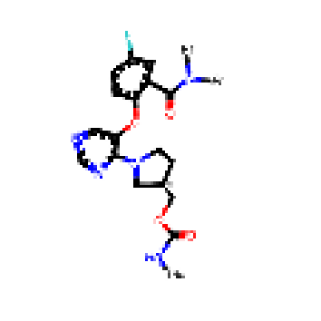 CCN(C(=O)c1cc(F)ccc1Oc1cncnc1N1CC[C@@H](COC(=O)NC(C)(C)C)C1)C(C)C